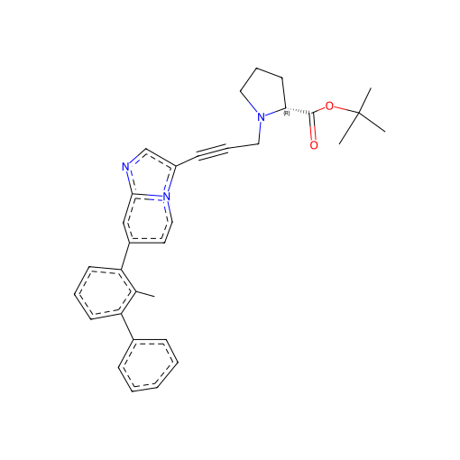 Cc1c(-c2ccccc2)cccc1-c1ccn2c(C#CCN3CCC[C@@H]3C(=O)OC(C)(C)C)cnc2c1